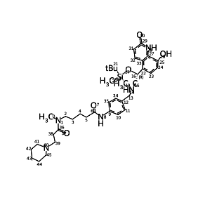 CN(CCCCC(=O)Nc1ccc(CNC[C@H](O[Si](C)(C)C(C)(C)C)c2ccc(O)c3[nH]c(=O)ccc23)cc1)C(=O)CCN1CC[CH]CC1